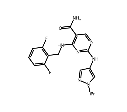 CC(C)n1cc(Nc2ncc(C(N)=O)c(NCc3c(F)cccc3F)n2)cn1